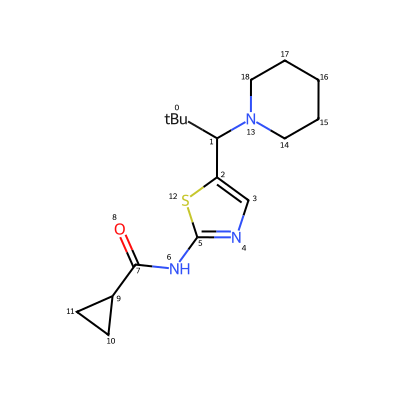 CC(C)(C)C(c1cnc(NC(=O)C2CC2)s1)N1CCCCC1